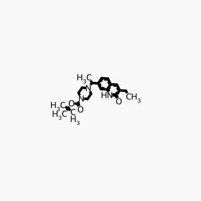 CCc1cc2ccc(C(C)N3CCN(C(=O)OC(C)(C)C)CC3)cc2[nH]c1=O